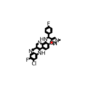 COc1ccc2c(Nc3ccc(F)c(Cl)c3)c(C#N)cnc2c1NC(c1ccc(F)cc1)c1cn(C)nn1